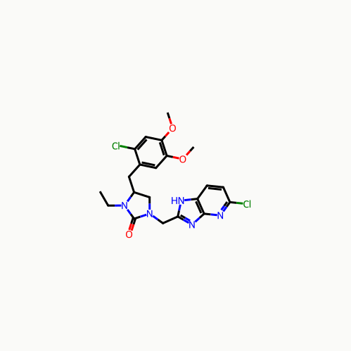 CCN1C(=O)N(Cc2nc3nc(Cl)ccc3[nH]2)CC1Cc1cc(OC)c(OC)cc1Cl